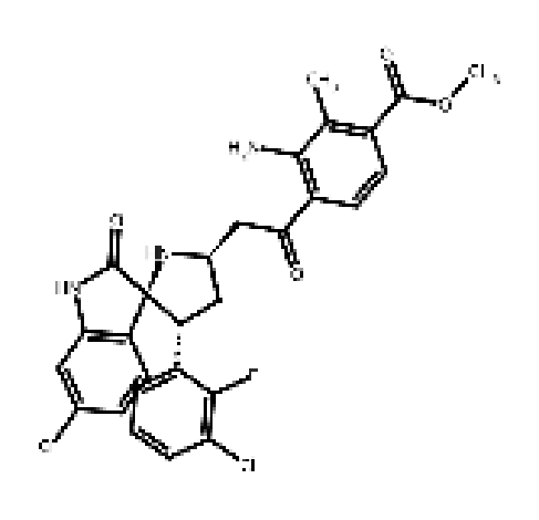 COC(=O)c1ccc(C(=O)C[C@H]2C[C@H](c3cccc(Cl)c3F)[C@@]3(N2)C(=O)Nc2cc(Cl)ccc23)c(N)c1C